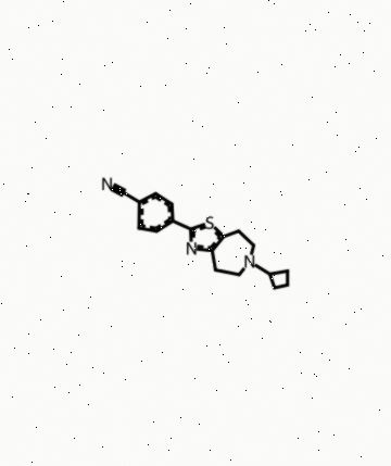 N#Cc1ccc(-c2nc3c(s2)CCN(C2CCC2)CC3)cc1